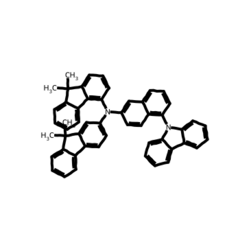 CC1(C)c2ccccc2-c2ccc(N(c3ccc4c(-n5c6ccccc6c6ccccc65)cccc4c3)c3cccc4c3-c3ccccc3C4(C)C)cc21